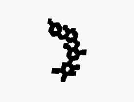 N#Cc1nn(-c2cc(Cl)c(Oc3cnc(=O)n(Cc4ccc(F)cc4)c3)c(Cl)c2)c(=O)[nH]c1=O